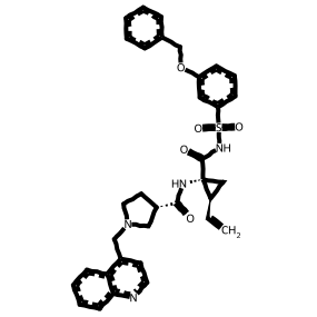 C=C[C@@H]1C[C@]1(NC(=O)[C@H]1CCN(Cc2ccnc3ccccc23)C1)C(=O)NS(=O)(=O)c1cccc(OCc2ccccc2)c1